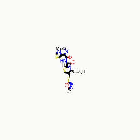 CCc1nnc(SCC2=C(C(=O)O)N3C(=O)C(NC(=O)/C(=N/OC)c4cscn4)[C@H]3SC2)o1